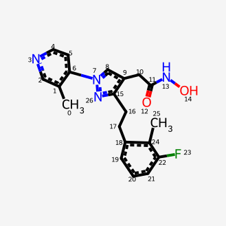 Cc1cnccc1-n1cc(CC(=O)NO)c(CCc2cccc(F)c2C)n1